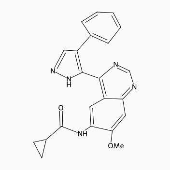 COc1cc2ncnc(-c3[nH]ncc3-c3ccccc3)c2cc1NC(=O)C1CC1